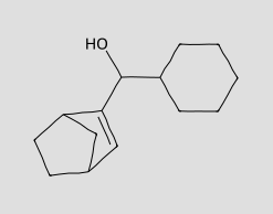 OC(C1=CC2CCC1C2)C1CCCCC1